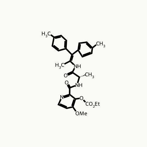 CCOC(=O)Oc1c(OC)ccnc1C(=O)N[C@@H](C)C(=O)NC(C)=C(c1ccc(C)cc1)c1ccc(C)cc1